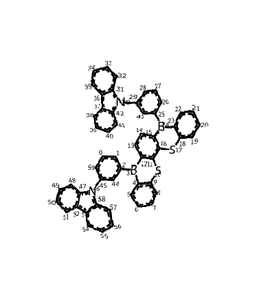 c1cc(B2c3ccccc3Sc3c2ccc2c3Sc3ccccc3B2c2cccc(-n3c4ccccc4c4ccccc43)c2)cc(-n2c3ccccc3c3ccccc32)c1